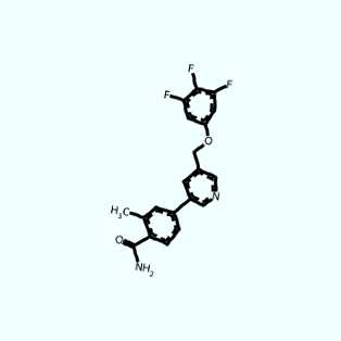 Cc1cc(-c2cncc(COc3cc(F)c(F)c(F)c3)c2)ccc1C(N)=O